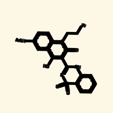 CC(=O)Nc1ccc2c(c1)c(O)c(C1=NS(=O)(=O)c3ccccc3N1)c(=O)n2CCC(C)C